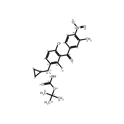 Cc1cc(C(=O)c2c(Cl)ccc([C@H](NC(=O)OC(C)(C)C)C3CC3)c2F)ccc1[N+](=O)[O-]